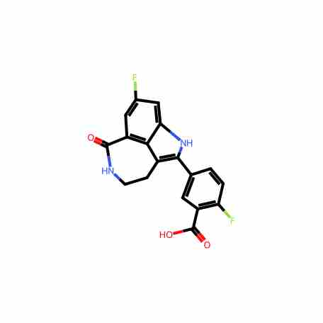 O=C(O)c1cc(-c2[nH]c3cc(F)cc4c3c2CCNC4=O)ccc1F